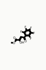 COC(=O)C(O)=CC(=O)c1c(F)c(F)c(F)c(F)c1F